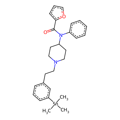 [CH3][Sn]([CH3])([CH3])[c]1cccc(CCN2CCC(N(C(=O)c3ccco3)c3ccccc3)CC2)c1